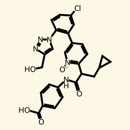 O=C(O)c1ccc(NC(=O)C(CC2CC2)c2ccc(-c3cc(Cl)ccc3-n3cc(CO)nn3)c[n+]2[O-])cc1